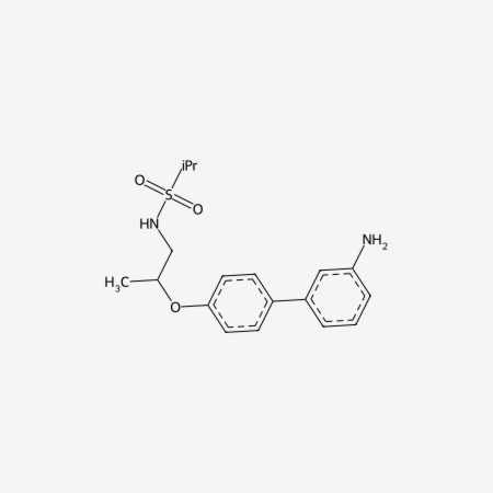 CC(CNS(=O)(=O)C(C)C)Oc1ccc(-c2cccc(N)c2)cc1